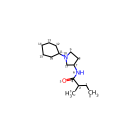 CCC(C)C(=O)NC1CCN(C2CCCCC2)C1